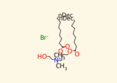 CCCCCCCCCCCCCCCCCC(=O)OCC(C[N+](C)(C)CCO)OC(=O)CCCCCCCCCCCCCCCCC.[Br-]